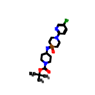 CC(C)(C)OC(=O)N1CCC(N=S2(=O)CCN(c3ccc(Br)cn3)CC2)CC1